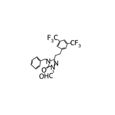 O=CCn1nc(CCc2cc(C(F)(F)F)cc(C(F)(F)F)c2)n(Cc2ccccc2)c1=O